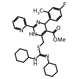 COC(=O)C1=C(CS/C(=N/C2CCCCC2)NC2CCCCC2)NC(c2ccccn2)=NC1c1ccc(F)cc1C